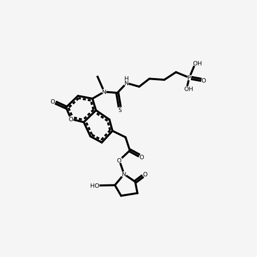 CN(C(=S)NCCCCP(=O)(O)O)c1cc(=O)oc2ccc(CC(=O)ON3C(=O)CCC3O)cc12